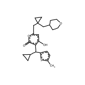 Cc1ccc(C(c2c(O)cc(CC3(CC4CCOCC4)CC3)oc2=O)C2CC2)s1